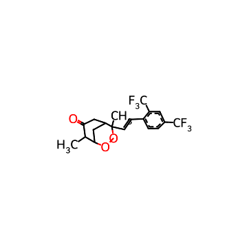 CC1C(=O)CC2CC1OOC2(C)/C=C/c1ccc(C(F)(F)F)cc1C(F)(F)F